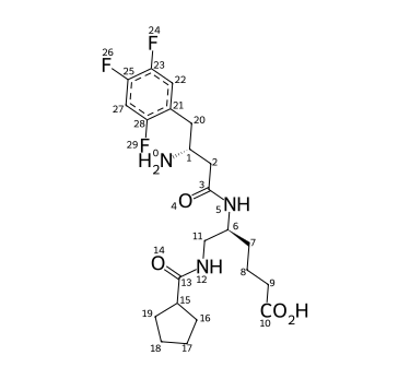 N[C@@H](CC(=O)N[C@@H](CCCC(=O)O)CNC(=O)C1CCCC1)Cc1cc(F)c(F)cc1F